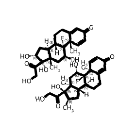 C[C@@H]1C[C@H]2[C@@H]3CCC4=CC(=O)C=C[C@]4(C)[C@@]3(F)[C@@H](O)C[C@]2(C)[C@@]1(O)C(=O)CO.C[C@]12C=CC(=O)C=C1CC[C@H]1[C@@H]3C[C@@H](O)[C@](O)(C(=O)CO)[C@@]3(C)C[C@H](O)[C@@]12F